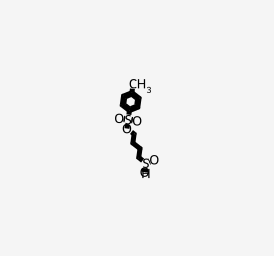 Cc1ccc(S(=O)(=O)OCCCC[SH](=O)=O)cc1